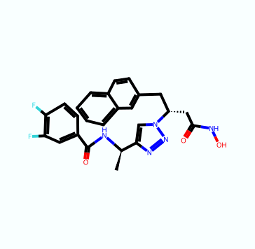 C[C@@H](NC(=O)c1ccc(F)c(F)c1)c1cn([C@@H](CC(=O)NO)Cc2ccc3ccccc3c2)nn1